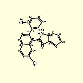 Clc1ccc2ccc(-c3ccccc3Cl)c(-c3nc4ccccc4[nH]3)c2c1